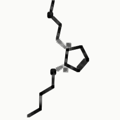 CCCCO[C@H]1C=CC[C@H]1CCOC